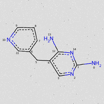 Nc1ncc(Cc2cccnc2)c(N)n1